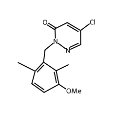 COc1ccc(C)c(Cn2ncc(Cl)cc2=O)c1C